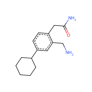 NCc1cc(C2CCCCC2)ccc1CC(N)=O